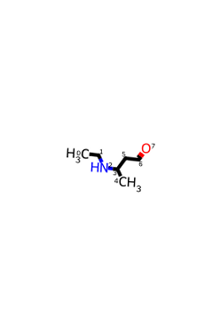 CCNC(C)CC=O